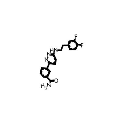 NC(=O)c1cccc(-c2ccc(NCCc3ccc(F)c(F)c3)nn2)c1